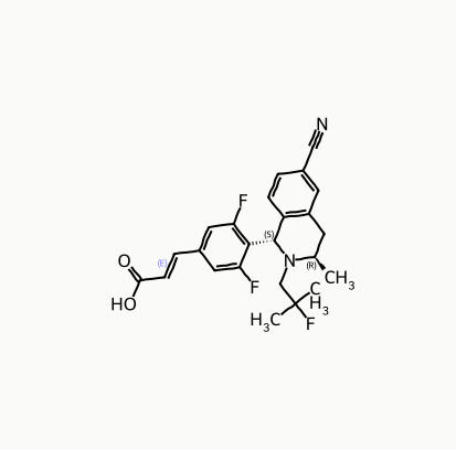 C[C@@H]1Cc2cc(C#N)ccc2[C@@H](c2c(F)cc(/C=C/C(=O)O)cc2F)N1CC(C)(C)F